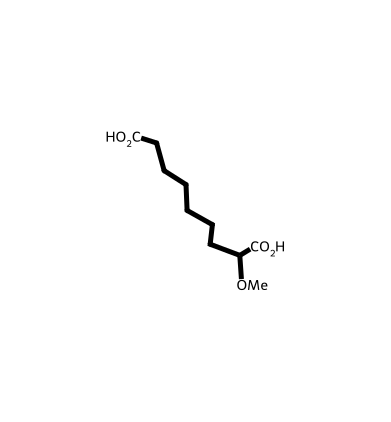 COC(CCCCCCC(=O)O)C(=O)O